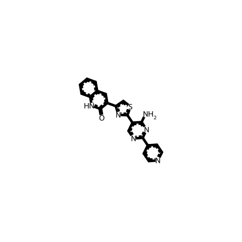 Nc1nc(-c2ccncc2)ncc1-c1nc(-c2cc3ccccc3[nH]c2=O)cs1